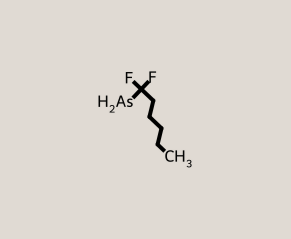 CCCCCC(F)(F)[AsH2]